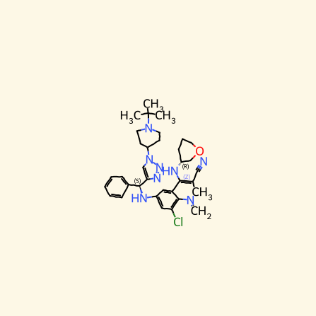 C=Nc1c(Cl)cc(N[C@@H](c2ccccc2)c2cn(C3CCN(C(C)(C)C)CC3)nn2)cc1/C(N[C@@H]1CCCOC1)=C(\C)C#N